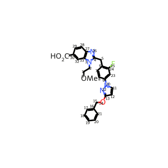 COCCn1c(Cc2ccc(-n3ccc(OCc4ccccc4)n3)cc2F)nc2ccc(C(=O)O)cc21